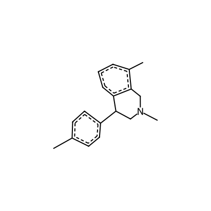 Cc1ccc(C2CN(C)Cc3c(C)cccc32)cc1